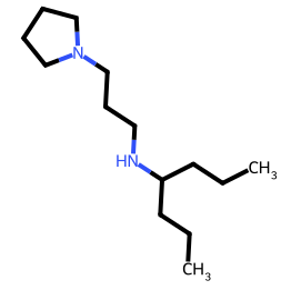 CCCC(CCC)NCCCN1CCCC1